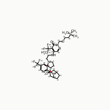 C[C@@H](CN1CC[C@@H](C(=O)N2C3CCC2CN(c2ncc(C(F)(F)F)cn2)C3)C1)Nc1cnn(COCC[Si](C)(C)C)c(=O)c1C(F)(F)F